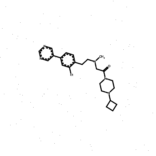 CCc1cc(-c2cncnc2)ccc1CCN(C)CC(=O)N1CCN(C2CCC2)CC1